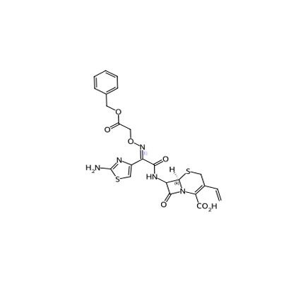 C=CC1=C(C(=O)O)N2C(=O)C(NC(=O)/C(=N/OCC(=O)OCc3ccccc3)c3csc(N)n3)[C@H]2SC1